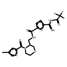 Cc1csc(C(=O)N2CCOCC2CNC(=O)c2ccc(C(=N)NC(=O)C(F)(F)F)s2)c1